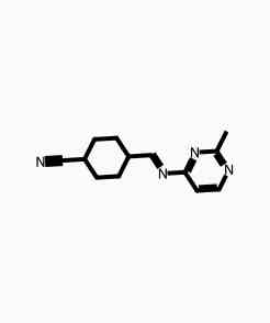 Cc1nccc(N=CC2CCC(C#N)CC2)n1